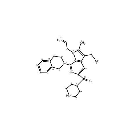 C=CCn1c(C)c(CO)c2cc(C(=O)N3CCNCC3)nc(N3CCc4ccccc4C3)c21